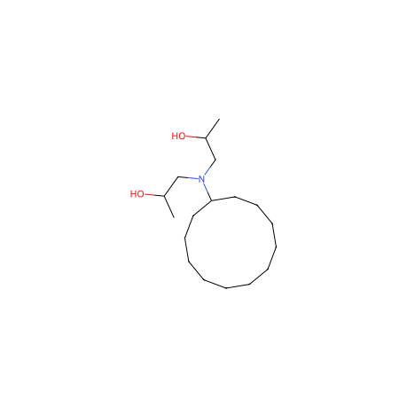 CC(O)CN(CC(C)O)C1CCCCCCCCCCC1